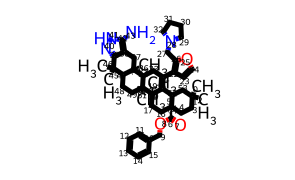 CC1(C)CC[C@]2(C(=O)OCc3ccccc3)CC[C@]3(C)C(=C(c4ccoc4CN4CCCC4)CC4[C@@]5(C)Cc6c(n[nH]c6N)C(C)(C)C5CC[C@]43C)C2C1